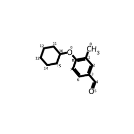 Cc1cc(C=O)ccc1OC1CCCCC1